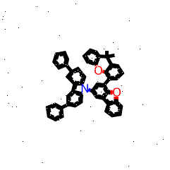 CC1(C)c2ccccc2Oc2c(-c3cc(-n4c5ccc(-c6ccccc6)cc5c5cc(-c6ccccc6)ccc54)cc4c3oc3ccccc34)cccc21